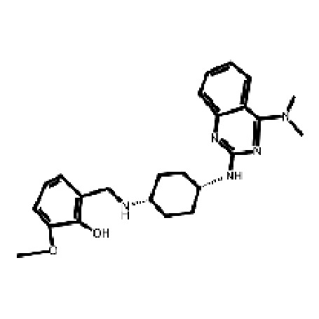 COc1cccc(CN[C@H]2CC[C@@H](Nc3nc(N(C)C)c4ccccc4n3)CC2)c1O